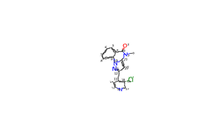 Cn1c(=O)c2ccccc2n2nc(-c3ccncc3Cl)cc12